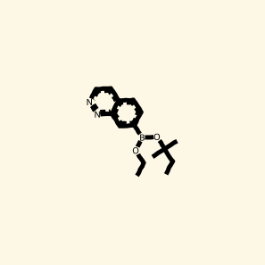 CCOB(OC(C)(C)CC)c1ccc2ccnnc2c1